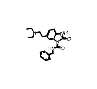 CCN(CC)CCC1=CCC2NC(=O)N(C(=O)NCc3ccccc3)C2=C1